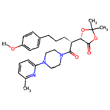 CCOc1ccc(CCC[C@@H](C(=O)N2CCN(c3cccc(C)n3)CC2)[C@@H]2OC(C)(C)OC2=O)cc1